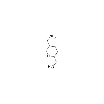 NCC1CCC(CN)OC1